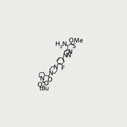 COC(=S)C(N)c1cn(-c2ccc(N3CCN(C(=O)C4CCCN4C(=O)OC(C)(C)C)CC3)c(F)c2)nn1